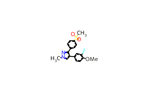 COc1ccc(-c2cn(C)nc2-c2ccc(S(C)(=O)=O)cc2)cc1F